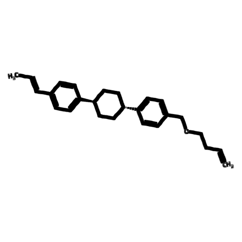 C=CCCOCc1ccc([C@H]2CC[C@H](c3ccc(C=CC)cc3)CC2)cc1